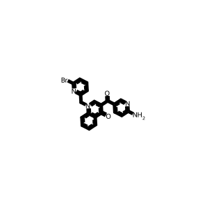 Nc1ccc(C(=O)c2cn(Cc3cccc(Br)n3)c3ccccc3c2=O)cn1